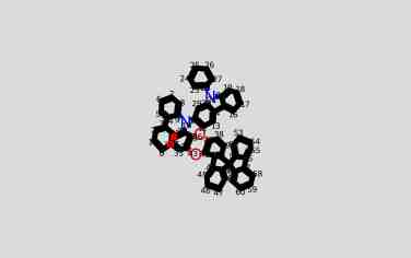 c1ccc(-c2ccccc2N(c2ccc3c4ccccc4n(-c4ccccc4)c3c2)c2cccc3c2Oc2ccc4c(c2O3)-c2ccccc2C42c3ccccc3-c3ccccc32)cc1